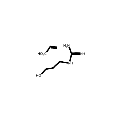 C=CC(=O)O.N=C(N)NCCCO